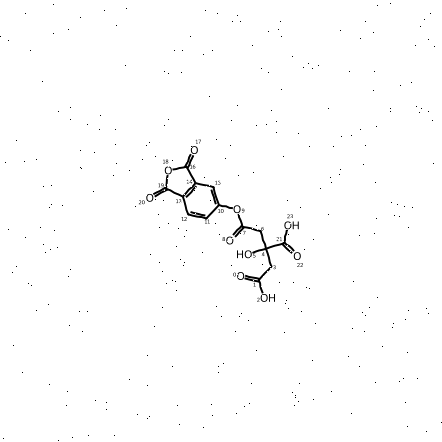 O=C(O)CC(O)(CC(=O)Oc1ccc2c(c1)C(=O)OC2=O)C(=O)O